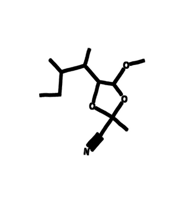 CCC(C)C(C)C1OC(C)(C#N)OC1OC